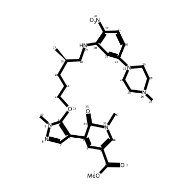 COC(=O)c1cc(-c2cnn(C)c2OCCC[C@@H](C)CNc2cc(N3CCN(C)CC3)ccc2[N+](=O)[O-])c(=O)n(C)c1